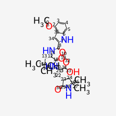 COc1cccc2[nH]c(C(=O)N[C@@H](CC(C)(C)C)C(=O)N[C@@H](C[C@@H]3CC(C)(C)NC3=O)C(=O)O)cc12